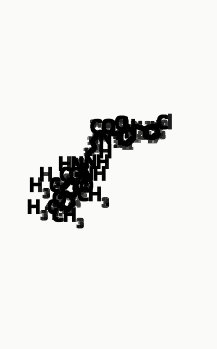 Cc1c(C)c(S(=O)(=O)NC(=N)NCCC[C@H](NC(=O)c2cccn(Cc3cccc(Cl)c3)c2=O)C(=O)O)c(C)c2c1OC(C)(C)CC2